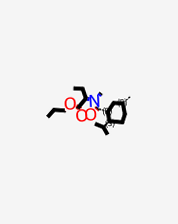 CCCOC(=O)C(CC)N(C)C(=O)[C@@H]1C[C@H](C)CC[C@H]1C(C)C